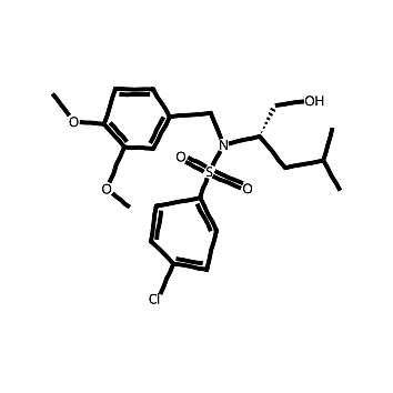 COc1ccc(CN([C@H](CO)CC(C)C)S(=O)(=O)c2ccc(Cl)cc2)cc1OC